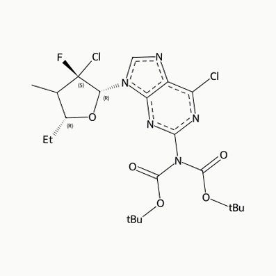 CC[C@H]1O[C@@H](n2cnc3c(Cl)nc(N(C(=O)OC(C)(C)C)C(=O)OC(C)(C)C)nc32)[C@@](F)(Cl)C1C